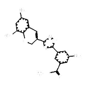 COC(=O)c1cc(-c2nc(C3=Cc4cc(C(C)(C)C)cc(C(C)(C)C)c4OC3)no2)cc([N+](=O)[O-])c1